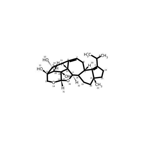 CC(C)C1=C2[C@H]3CC=C4[C@@H](O)[C@@]5(O)CO[C@H]6O[C@H](C3CC[C@@]2(C)CC1)[C@@H]4[C@@]6(O)[C@H]5O